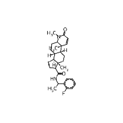 CC(NC(=O)C1CC[C@H]2[C@@H]3CCC4N(C)C(=O)C=C[C@]4(C)[C@@H]3CC[C@]12C)c1ccccc1F